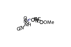 COc1ccc(Cn2ncc3cc(/C=C4\SC(NCCN5CCOCC5)=NC4=O)ccc32)c(C(F)(F)F)c1